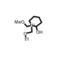 CCOC[N+]1(COC)CCCCC1O